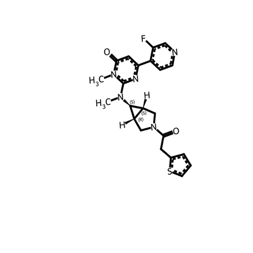 CN(c1nc(-c2ccncc2F)cc(=O)n1C)[C@H]1[C@@H]2CN(C(=O)Cc3cccs3)C[C@@H]21